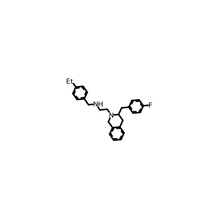 CCc1ccc(CNCCN2Cc3ccccc3CC2Cc2ccc(F)cc2)cc1